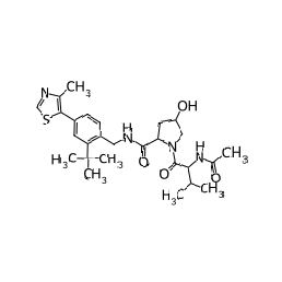 CC(=O)NC(C(=O)N1CC(O)CC1C(=O)NCc1ccc(-c2scnc2C)cc1C(C)(C)C)C(C)C